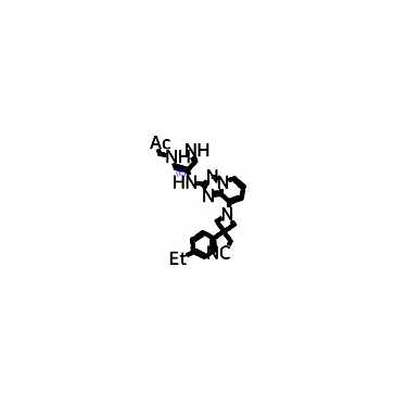 CCc1ccc(C2(CC#N)CN(c3cccn4nc(N/C(C=N)=C/NCC(C)=O)nc34)C2)cc1